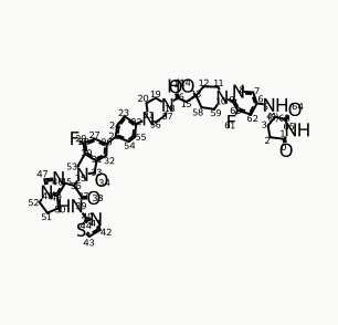 O=C1CC[C@H](Nc2cnc(N3CCC(O)(CC(=O)N4CCN(c5ccc(-c6cc(F)c7c(c6)C(=O)N(C(C(=O)Nc6nccs6)c6ncn8c6CCC8)C7)cc5)CC4)CC3)c(F)c2)C(=O)N1